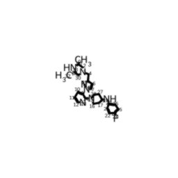 C[C@@H]1CN(Cc2ccn(-c3cccnc3N3CCC(Nc4ccc(F)cc4)CC3)n2)C[C@H](C)N1